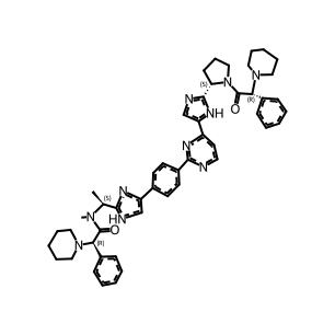 C[C@@H](c1nc(-c2ccc(-c3nccc(-c4cnc([C@@H]5CCCN5C(=O)[C@@H](c5ccccc5)N5CCCCC5)[nH]4)n3)cc2)c[nH]1)N(C)C(=O)[C@@H](c1ccccc1)N1CCCCC1